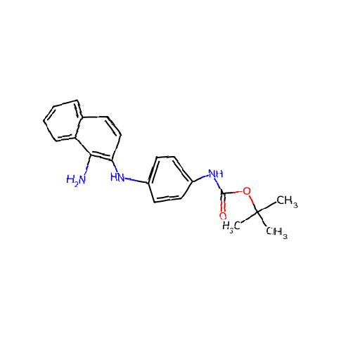 CC(C)(C)OC(=O)Nc1ccc(Nc2ccc3ccccc3c2N)cc1